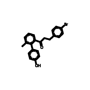 Cc1cccc(C(=O)CCc2ccc(Br)cc2)c1-c1ccc(O)cc1